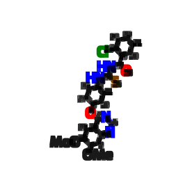 COc1cc2ncnc(Oc3ccc(NC(=S)NC(=O)c4ccccc4Cl)cc3)c2cc1OC